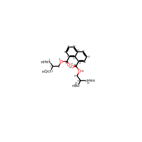 CCCCCCCCC(CCCCCC)COC(=O)c1cccc2cccc(C(=O)OCC(CCCC)CCCCCC)c12